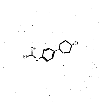 CCC(O)Oc1ccc([C@H]2CC[C@H](CC)CC2)cc1